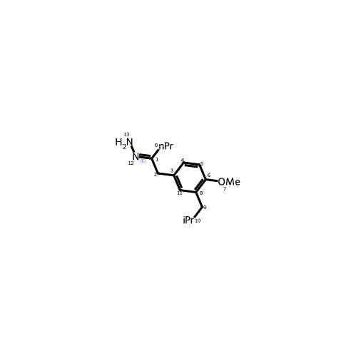 CCC/C(Cc1ccc(OC)c(CC(C)C)c1)=N\N